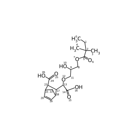 CCC(C)(C)C(=O)OCC(O)COC(C(=O)O)C1C2C=CC(C2)C1C(=O)O